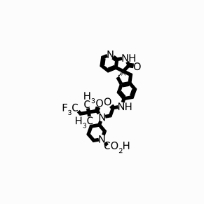 CC(C)(CC(F)(F)F)C(=O)N(CC(=O)Nc1ccc2c(c1)C[C@@]1(C2)C(=O)Nc2ncccc21)C1CCCN(C(=O)O)C1